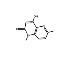 Cc1ccc2c(n1)c(O)cc(=O)n2C